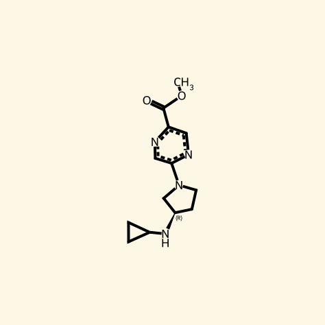 COC(=O)c1cnc(N2CC[C@@H](NC3CC3)C2)cn1